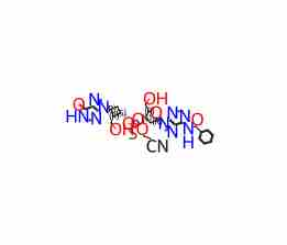 N#CCCOP(=S)(OC[C@H]1C[C@@H](n2cnc3c(=O)[nH]cnc32)[C@@H]1CO)O[C@H]1C[C@H](n2cnc3c(NC(=O)c4ccccc4)ncnc32)O[C@@H]1CO